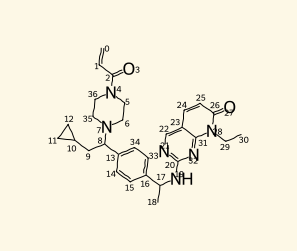 C=CC(=O)N1CCN(C(CC2CC2)c2ccc(C(C)Nc3ncc4ccc(=O)n(CC)c4n3)cc2)CC1